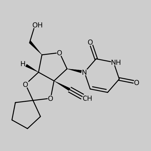 C#C[C@@]12OC3(CCCC3)O[C@@H]1[C@@H](CO)O[C@H]2n1ccc(=O)[nH]c1=O